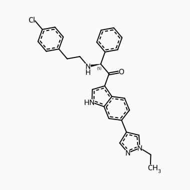 CCn1cc(-c2ccc3c(C(=O)[C@@H](NCCc4ccc(Cl)cc4)c4ccccc4)c[nH]c3c2)cn1